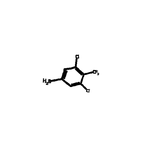 Bc1cc(Cl)c(C(F)(F)F)c(Cl)c1